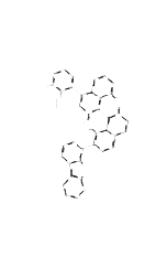 Fc1cccc(-c2cc3sc4c(-c5cccc6c5sc5ccccc56)ccc5ccc6sc7cccc2c7c3-c6c54)c1F